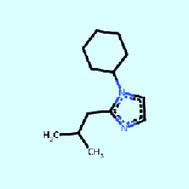 CC(C)Cc1nccn1C1CCCCC1